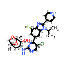 CC(C)n1c(-c2ccncc2)nc2c(F)cc(-c3nc(N[C@@H]4C[C@H]5CO[C@H](O5)[C@H]4O)ncc3Cl)cc21